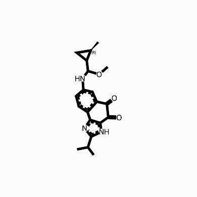 COC(Nc1ccc2c(c1)C(=O)C(=O)c1[nH]c(C(C)C)nc1-2)C1C[C@H]1C